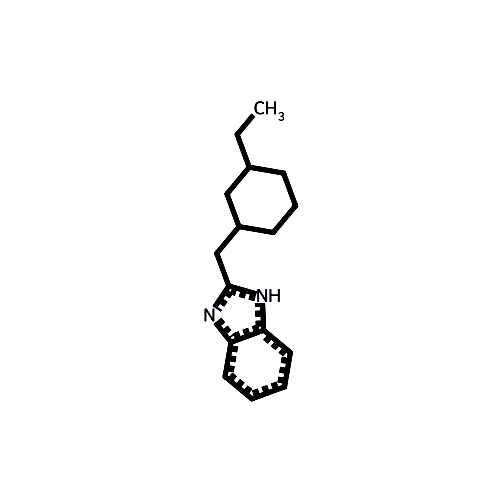 CCC1CCCC(Cc2nc3ccccc3[nH]2)C1